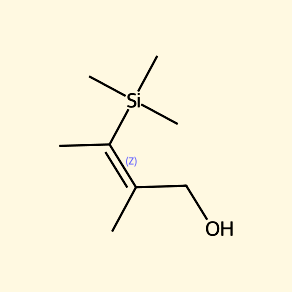 C/C(CO)=C(\C)[Si](C)(C)C